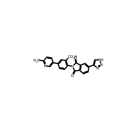 Nc1ccc(-c2ccc(N3C(=O)c4ccc(-c5c[nH]nn5)cc4C3=O)c(C(=O)O)c2)cn1